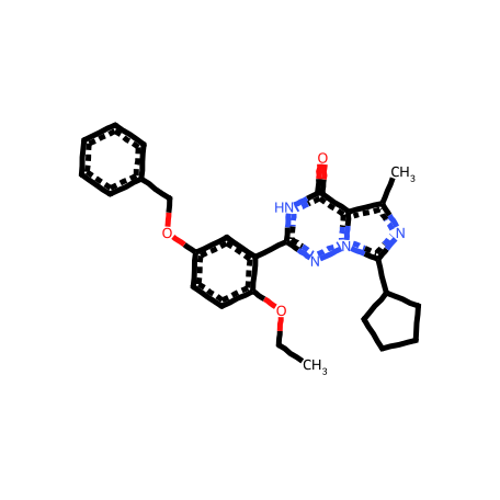 CCOc1ccc(OCc2ccccc2)cc1-c1nn2c(C3CCCC3)nc(C)c2c(=O)[nH]1